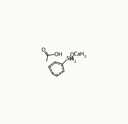 CC(=O)O.O.Sc1ccccc1.[CaH2]